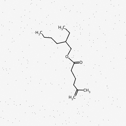 C=C(C)CCCC(=O)OCC(CC)CCCC